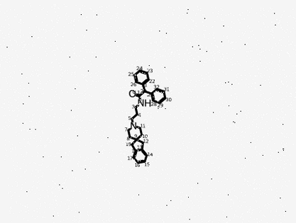 O=C(NCCCN1CCC2(CC1)Cc1ccccc1C2)C(c1ccccc1)c1ccccc1